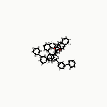 c1ccc(-c2cccc(-c3nc(-c4cccc(-c5ccccc5)c4)nc(-c4cccc5sc6cccc(-c7ccccc7-c7nc8cc9ccccc9cc8s7)c6c45)n3)c2)cc1